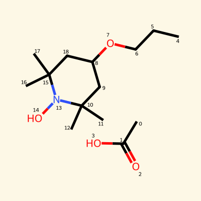 CC(=O)O.CCCOC1CC(C)(C)N(O)C(C)(C)C1